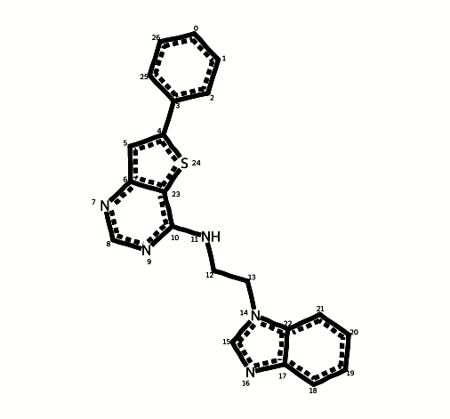 c1ccc(-c2cc3ncnc(NCCn4cnc5ccccc54)c3s2)cc1